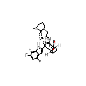 N#C[C@H](C[C@@H]1CCCNC1=O)NC(=O)[C@H]1[C@H]2CC[C@H](CC2(F)F)N1C(=O)c1cc2c(F)cc(F)c(F)c2[nH]1